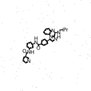 CC(C)CNc1nc2ccccc2n2c(-c3ccc(C(=O)Nc4cccc(NC(=O)c5cccnc5)c4)cc3)cnc12